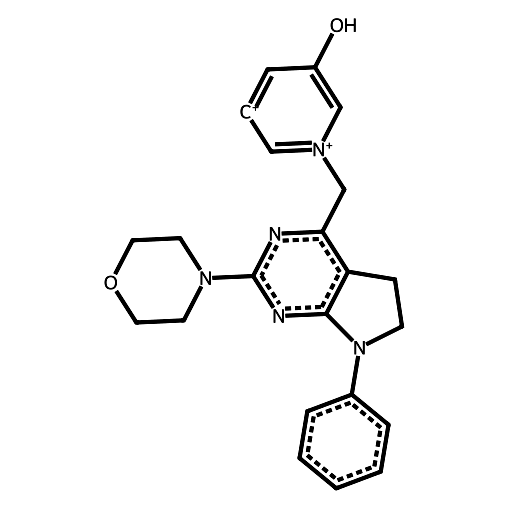 OC1=C[N+](Cc2nc(N3CCOCC3)nc3c2CCN3c2ccccc2)=C[C+]=C1